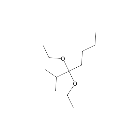 CCCCC(OCC)(OCC)C(C)C